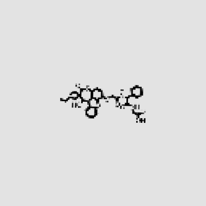 CCCCC1(CC)C(=O)SC2=C(C(=O)C(SCC(=O)N[C@@H](C(=O)NCC(=O)O)c3ccccc3)C=C2)C(c2ccccc2)C1O